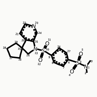 CN(C)S(=O)(=O)c1ccc(S(=O)(=O)N2CC3(CCCC3)c3ccncc32)cc1